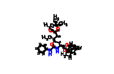 C[C@@H](CC[C@H](NC(=O)Nc1ccccc1)B1O[C@@H]2C[C@@H]3C[C@@H](C3(C)C)[C@]2(C)O1)CC(=O)OC(C)(C)C